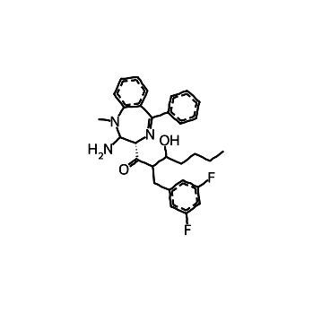 CCCCC(O)C(Cc1cc(F)cc(F)c1)C(=O)[C@H]1N=C(c2ccccc2)c2ccccc2N(C)C1N